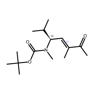 CC(=O)/C(C)=C/[C@H](C(C)C)N(C)C(=O)OC(C)(C)C